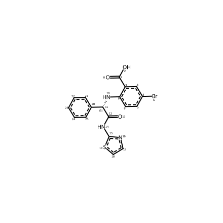 O=C(O)c1cc(Br)ccc1N[C@H](C(=O)Nc1nccs1)c1ccccc1